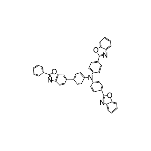 c1ccc(-c2nc3ccc(-c4ccc(N(c5ccc(-c6nc7ccccc7o6)cc5)c5ccc(-c6nc7ccccc7o6)cc5)cc4)cc3o2)cc1